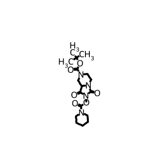 CC(C)(C)OC(=O)N1CCN2C(=O)N(OC(=O)N3CCCCC3)C(=O)C2C1